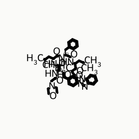 CC(C)CC(NC(=O)[C@H](CCc1ccccc1)NC(=O)CN1CCOCC1)C(=O)N[C@@H](Cc1ccccc1)C(=O)NC(CC(C)C)C(=O)C(C)(O)COn1nnc2ccccc21